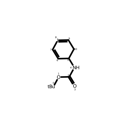 CC(C)(C)OC(=O)NC1C=CI=CC1